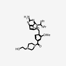 CCCC(CCC)N1c2nc(N)nc(c2C=O)C=CN1Cc1ccc(C(=O)N2CCN(CCO)CC2)cc1OC